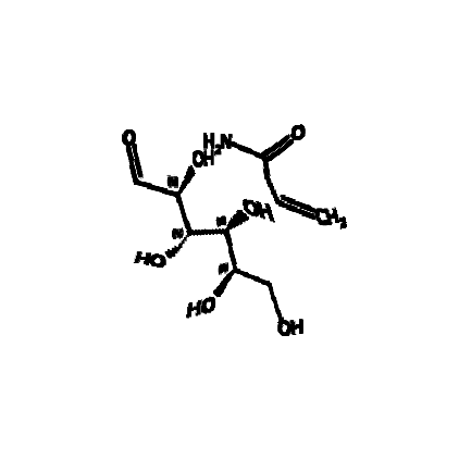 C=CC(N)=O.O=C[C@@H](O)[C@@H](O)[C@@H](O)[C@H](O)CO